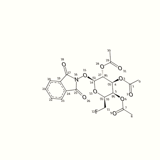 CC(=O)O[C@H]1[C@@H](OC(C)=O)[C@@H](CF)O[C@@H](ON2C(=O)c3ccccc3C2=O)[C@@H]1OC(C)=O